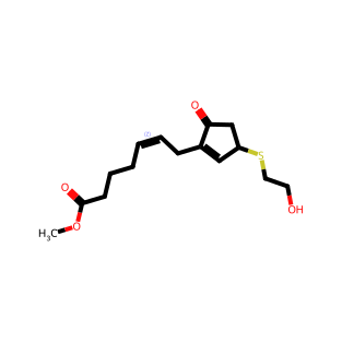 COC(=O)CCC/C=C\CC1=CC(SCCO)CC1=O